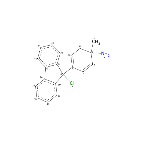 CC1(N)C=CC(C2(Cl)c3ccccc3-c3ccccc32)=CC1